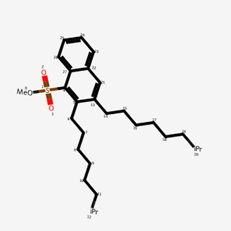 COS(=O)(=O)c1c(CCCCCCC(C)C)c(CCCCCCC(C)C)cc2ccccc12